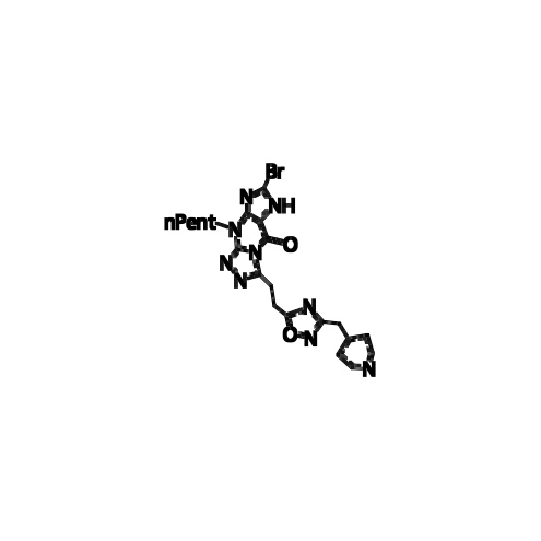 CCCCCn1c2nc(Br)[nH]c2c(=O)n2c(CCc3nc(Cc4ccncc4)no3)nnc12